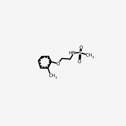 Cc1ccccc1OCCNS(C)(=O)=O